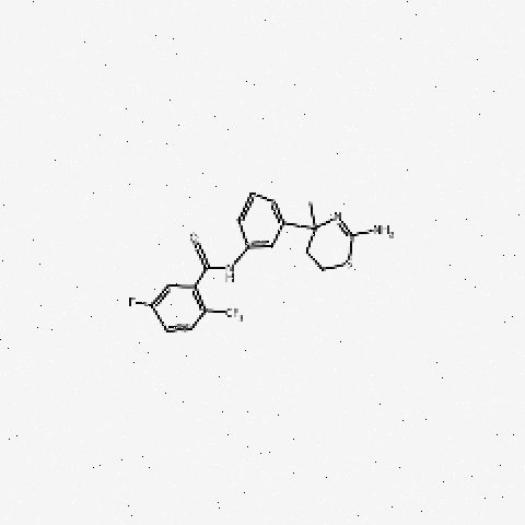 CC1(c2cccc(NC(=O)c3cc(F)ccc3C(F)(F)F)c2)CCSC(N)=N1